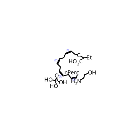 CCCCC/C=C\C/C=C\C/C=C\C/C=C\CCC(CC)C(=O)O.NCCO.O=P(O)(O)O